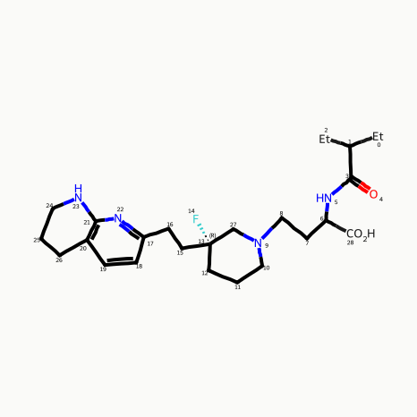 CCC(CC)C(=O)NC(CCN1CCC[C@@](F)(CCc2ccc3c(n2)NCCC3)C1)C(=O)O